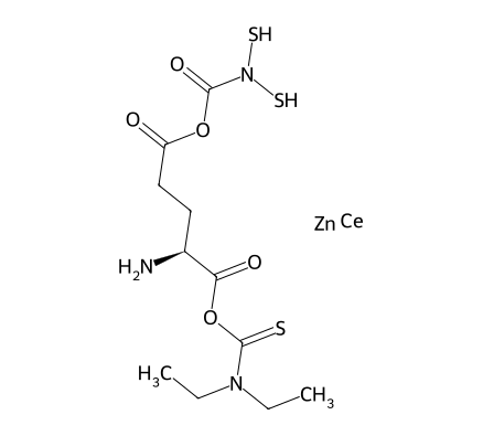 CCN(CC)C(=S)OC(=O)[C@@H](N)CCC(=O)OC(=O)N(S)S.[Ce].[Zn]